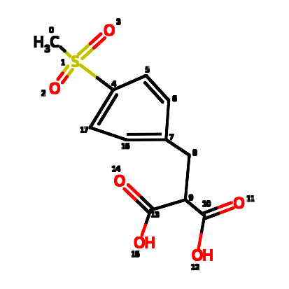 CS(=O)(=O)c1ccc(CC(C(=O)O)C(=O)O)cc1